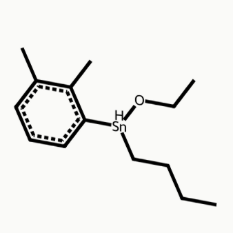 CCC[CH2][SnH]([O]CC)[c]1cccc(C)c1C